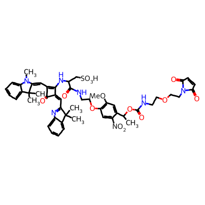 COc1cc(C(C)OC(=O)NCCOCCN2C(=O)C=CC2=O)c([N+](=O)[O-])cc1OCCNC(=O)C(CS(=O)(=O)O)NC1=C(/C=C2/N(C)c3ccccc3C2(C)C)C(=O)/C1=C\C1=Nc2ccccc2C1(C)C